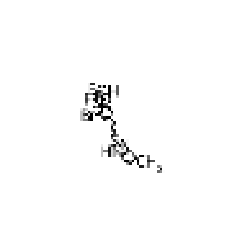 Cc1ccc2[nH]c(SCCCc3ccc(OP(=O)(O)C(F)F)c(Br)c3)nc2c1